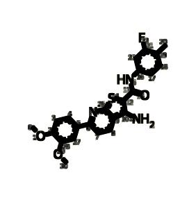 COc1ccc(-c2ccc3c(N)c(C(=O)Nc4ccc(C)c(F)c4)sc3n2)cc1OC